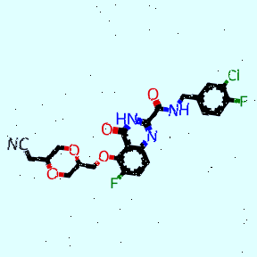 N#CCC1COC(COc2c(F)ccc3nc(C(=O)NCc4ccc(F)c(Cl)c4)[nH]c(=O)c23)CO1